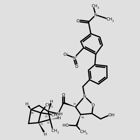 CC(O)[C@@H]1C(CO)ON(Cc2cccc(-c3ccc(C(=O)N(C)C)cc3[N+](=O)[O-])c2)[C@@H]1C(=O)N[C@H]1C[C@H]2C[C@@H]([C@@H]1C)C2(C)C